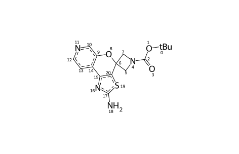 CC(C)(C)OC(=O)N1CC2(C1)Oc1cnccc1-c1nc(N)sc12